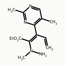 C=C/C(=C(/C(=O)OCC)N(C)N)c1nc(C)ncc1C